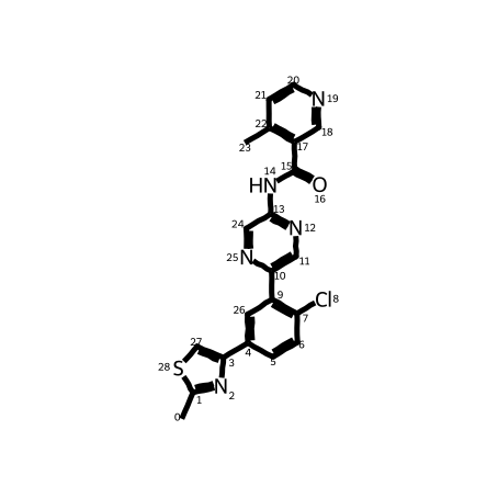 Cc1nc(-c2ccc(Cl)c(-c3cnc(NC(=O)c4cnccc4C)cn3)c2)cs1